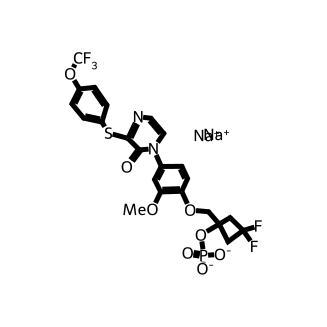 COc1cc(-n2ccnc(Sc3ccc(OC(F)(F)F)cc3)c2=O)ccc1OCC1(OP(=O)([O-])[O-])CC(F)(F)C1.[Na+].[Na+]